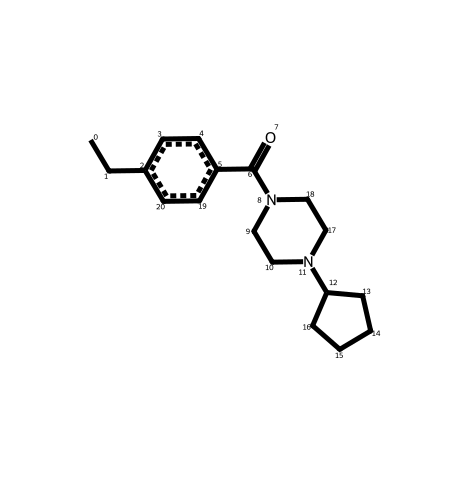 CCc1ccc(C(=O)N2CCN(C3CCCC3)CC2)cc1